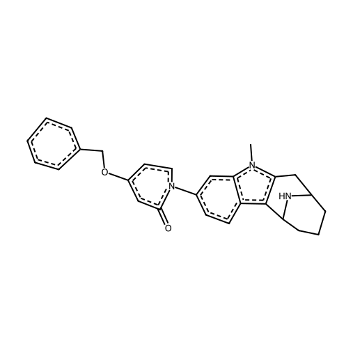 Cn1c2c(c3ccc(-n4ccc(OCc5ccccc5)cc4=O)cc31)C1CCCC(C2)N1